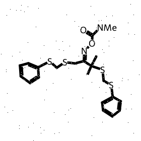 CNC(=O)ON=C(CSCSc1ccccc1)C(C)(C)SCSc1ccccc1